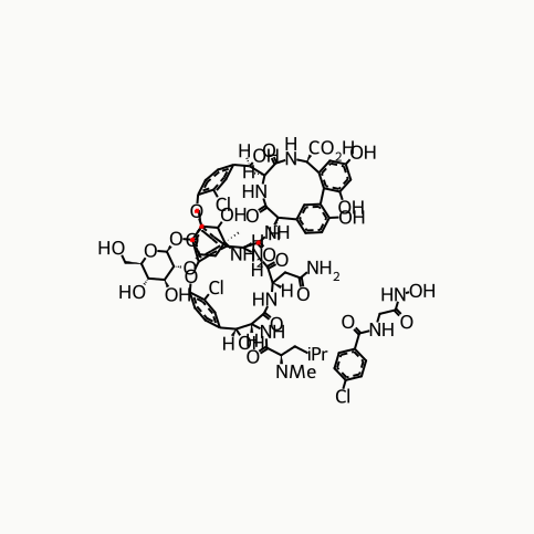 CN[C@H](CC(C)C)C(=O)N[C@H]1C(=O)N[C@@H](CC(N)=O)C(=O)N[C@H]2C(=O)N[C@H]3C(=O)N[C@H](C(=O)N[C@@H](C(=O)O)c4cc(O)cc(O)c4-c4cc3ccc4O)[C@H](O)c3ccc(c(Cl)c3)Oc3cc2cc(c3O[C@@H]2O[C@H](CO)[C@@H](O)[C@H](O)[C@H]2O[C@H]2C[C@](C)(N)C(O)[C@H](C)O2)Oc2ccc(cc2Cl)[C@H]1O.O=C(CNC(=O)c1ccc(Cl)cc1)NO